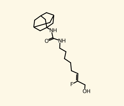 O=C(NCCCCCC=C(F)CO)NC12CC3CC(CC(C3)C1)C2